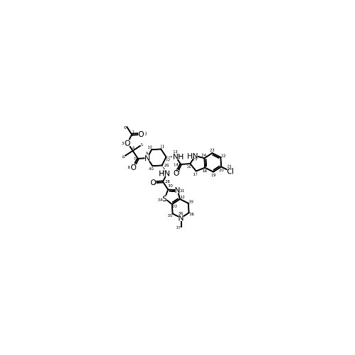 CC(=O)OC(C)(C)C(=O)N1CC[C@H](NC(=O)C2Cc3cc(Cl)ccc3N2)[C@H](NC(=O)c2nc3c(s2)CN(C)CC3)C1